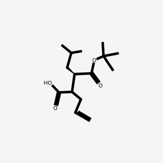 C=CCC(C(=O)O)[C@@H](CC(C)C)C(=O)OC(C)(C)C